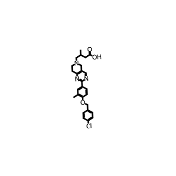 Cc1cc(-c2ncc3c(n2)CCN(CC(C)CC(=O)O)C3)ccc1OCc1ccc(Cl)cc1